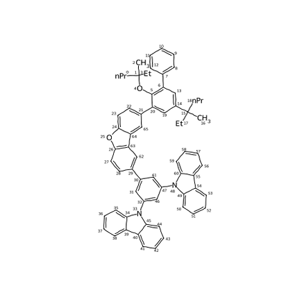 CCCC(C)(CC)Oc1c(-c2ccccc2)cc(C(C)(CC)CCC)cc1-c1ccc2oc3ccc(-c4cc(-n5c6ccccc6c6ccccc65)cc(-n5c6ccccc6c6ccccc65)c4)cc3c2c1